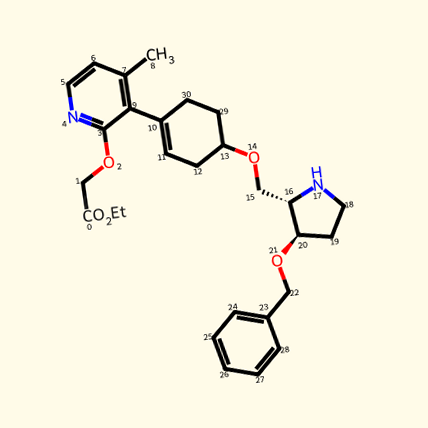 CCOC(=O)COc1nccc(C)c1C1=CCC(OC[C@@H]2NCC[C@H]2OCc2ccccc2)CC1